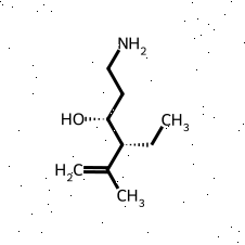 C=C(C)[C@@H](CC)[C@H](O)CCN